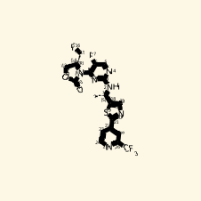 C[C@H](Nc1ncc(F)c(N2C(=O)OC[C@@H]2CF)n1)c1cnc(-c2ccnc(C(F)(F)F)c2)s1